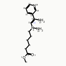 COC(=O)CCCCCN(N)/C=C(\N)c1cccnc1